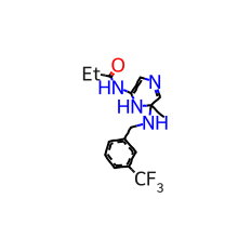 CCC(=O)NC1=CN=CC(C)(NCc2cccc(C(F)(F)F)c2)N1